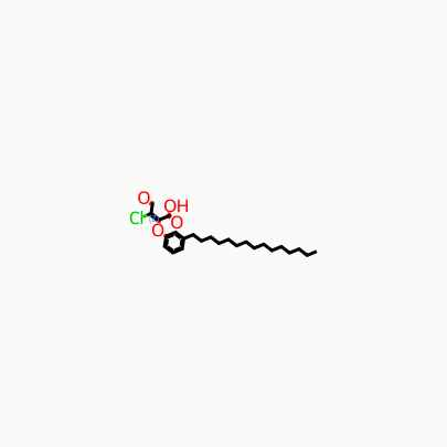 CCCCCCCCCCCCCCCc1cccc(O/C(C(=O)O)=C(\Cl)C=O)c1